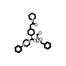 O=C(NOCc1ccccc1)[C@H]1CC(CC(=O)N2CCCCC2)CC[C@@H]1C(=O)N1CCN(c2ccccc2)CC1